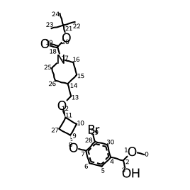 COC(O)c1ccc(O[C@H]2C[C@H](OCC3CCN(C(=O)OC(C)(C)C)CC3)C2)c(Br)c1